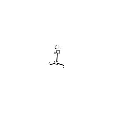 C[S+](C)Cl.[Cl-]